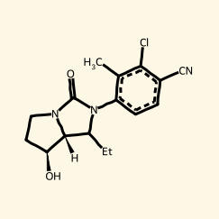 CCC1[C@@H]2[C@@H](O)CCN2C(=O)N1c1ccc(C#N)c(Cl)c1C